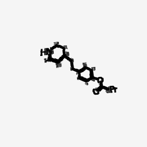 CC(C)C(=O)Oc1ccc(CCC2CCNCC2)cc1